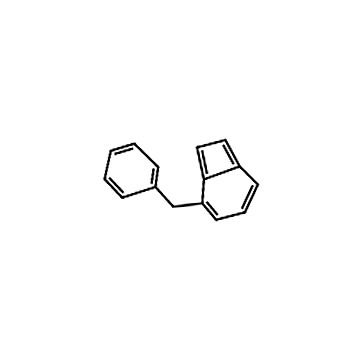 C1=c2cccc(Cc3ccccc3)c2=C1